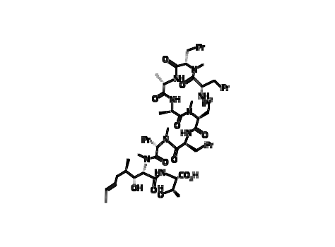 C/C=C/C[C@@H](C)[C@@H](O)[C@@H](C(=O)N[C@H](C(=O)O)[C@@H](C)O)N(C)C(=O)[C@H](C(C)C)N(C)C(=O)[C@H](CC(C)C)NC(=O)[C@H](CC(C)C)N(C)C(=O)[C@@H](C)NC(=O)[C@H](C)NC(=O)[C@H](CC(C)C)N(C)C(=O)[C@@H](N)CC(C)C